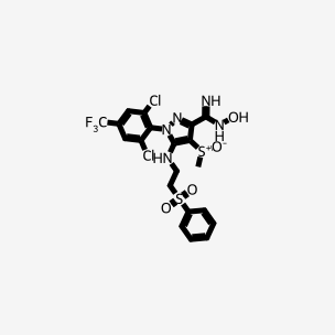 C[S+]([O-])c1c(C(=N)NO)nn(-c2c(Cl)cc(C(F)(F)F)cc2Cl)c1NCCS(=O)(=O)c1ccccc1